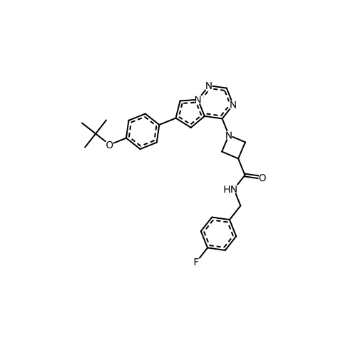 CC(C)(C)Oc1ccc(-c2cc3c(N4CC(C(=O)NCc5ccc(F)cc5)C4)ncnn3c2)cc1